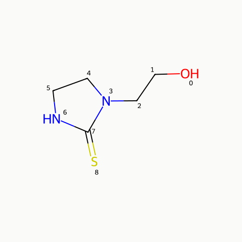 OCCN1CCNC1=S